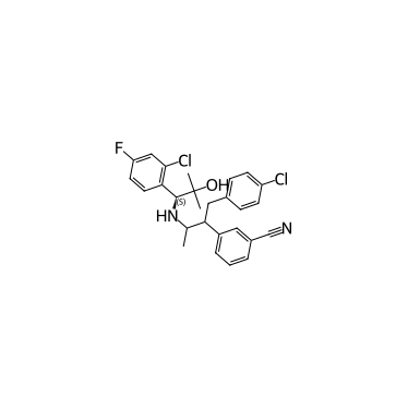 CC(N[C@@H](c1ccc(F)cc1Cl)C(C)(C)O)C(Cc1ccc(Cl)cc1)c1cccc(C#N)c1